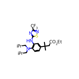 CCOC(=O)CC(C)(C)c1ccc(N(CC(C)C)CC(C)C)c(Nc2nc(C(F)(F)F)ns2)c1